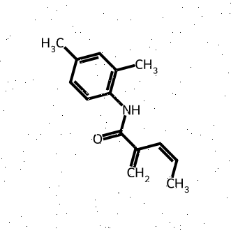 C=C(/C=C\C)C(=O)Nc1ccc(C)cc1C